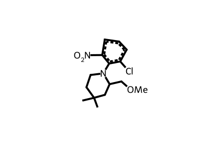 COCC1CC(C)(C)CCN1c1c(Cl)cccc1[N+](=O)[O-]